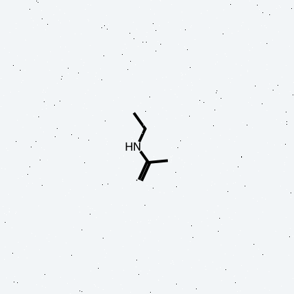 [CH]=C(C)NCC